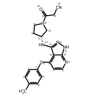 Cc1ccc(Oc2ccnc3[nH]nc(N[C@@H]4CCN(C(=O)CC#N)C4)c23)cc1